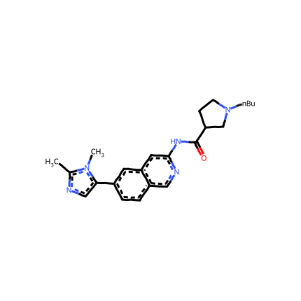 CCCCN1CCC(C(=O)Nc2cc3cc(-c4cnc(C)n4C)ccc3cn2)C1